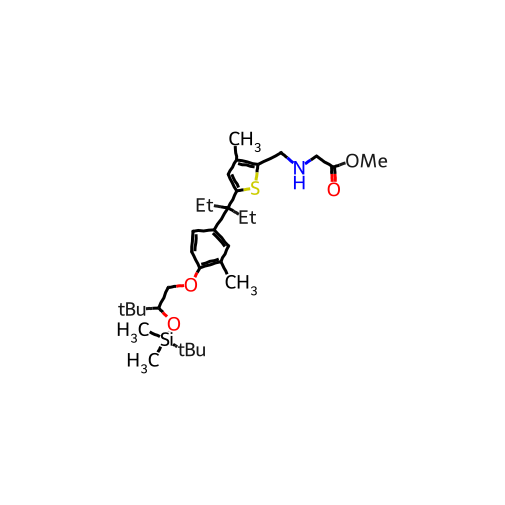 CCC(CC)(c1ccc(OCC(O[Si](C)(C)C(C)(C)C)C(C)(C)C)c(C)c1)c1cc(C)c(CNCC(=O)OC)s1